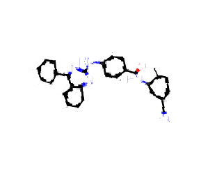 Cc1ccc(C#N)cc1NC(=O)c1ccc(Nc2nc(-c3ccccc3)c3ccccc3n2)cc1